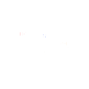 Cc1sc(P)nc1O